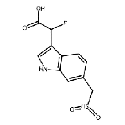 O=C(O)C(F)c1c[nH]c2cc(C[SH](=O)=O)ccc12